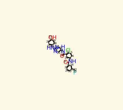 O=C(Nc1ccc(Cl)c(C(=O)Nc2cnc(Nc3ccc(O)cc3)nc2)c1)c1cccc(CF)c1